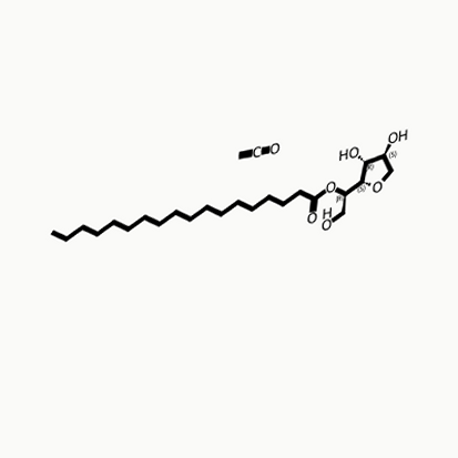 C=C=O.CCCCCCCCCCCCCCCCCC(=O)O[C@H](CO)[C@H]1OC[C@H](O)[C@H]1O